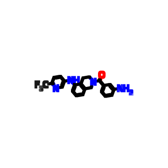 Nc1cccc(C(=O)N2CCc3c(cccc3Nc3ccc(C(F)(F)F)nc3)C2)c1